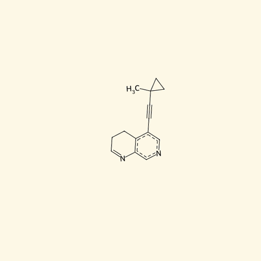 CC1(C#Cc2cncc3c2CCC=N3)CC1